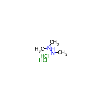 CNN(C)C.Cl.Cl